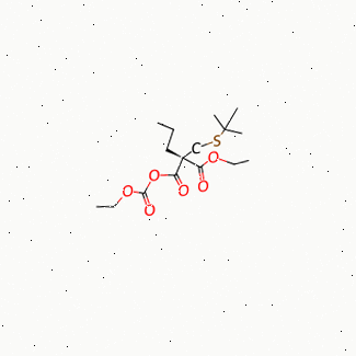 CCC[C@@](CSC(C)(C)C)(C(=O)OCC)C(=O)OC(=O)OCC